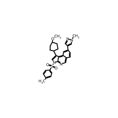 COC1CCC(c2cn(S(=O)(=O)c3ccc(C)cc3)c3ncc4ccc(-c5cnn(C)c5)cc4c23)CC1